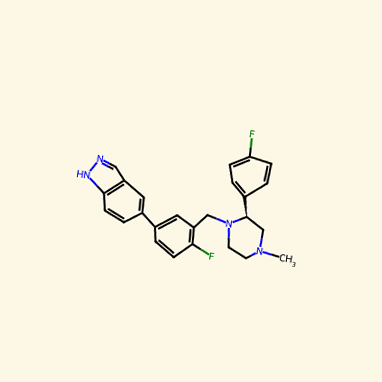 CN1CCN(Cc2cc(-c3ccc4[nH]ncc4c3)ccc2F)[C@@H](c2ccc(F)cc2)C1